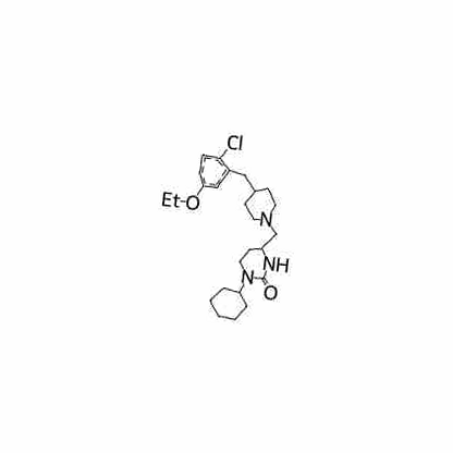 CCOc1ccc(Cl)c(CC2CCN(CC3CCN(C4CCCCC4)C(=O)N3)CC2)c1